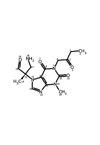 CCC(=O)Cn1c(=O)c2c(ncn2[C@](C)(C=O)CN)n(C)c1=O